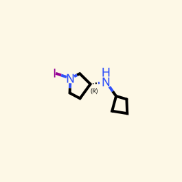 IN1CC[C@@H](NC2CCC2)C1